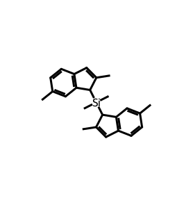 CC1=Cc2ccc(C)cc2C1[Si](C)(C)C1C(C)=Cc2ccc(C)cc21